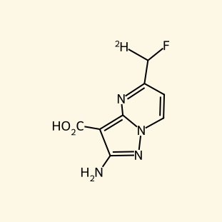 [2H]C(F)c1ccn2nc(N)c(C(=O)O)c2n1